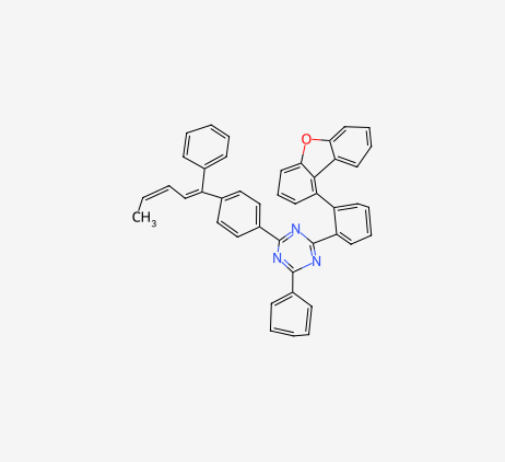 C/C=C\C=C(/c1ccccc1)c1ccc(-c2nc(-c3ccccc3)nc(-c3ccccc3-c3cccc4oc5ccccc5c34)n2)cc1